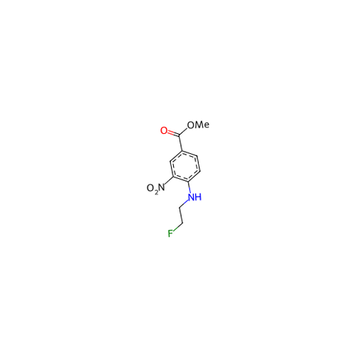 COC(=O)c1ccc(NCCF)c([N+](=O)[O-])c1